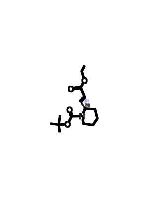 CCOC(=O)/C=C/[C@@H]1CCCCN1C(=O)OC(C)(C)C